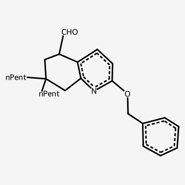 CCCCCC1(CCCCC)Cc2nc(OCc3ccccc3)ccc2C(C=O)C1